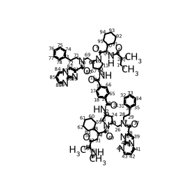 CC[C@@H](C)C(=O)N[C@H](C(=O)N1C[C@@H](NC(=O)c2ccc(C(=O)N[C@H]3C[C@@H](CN(CCc4ccccc4)C(=O)c4cn5cccnc5n4)N(C(=O)[C@@H](CC(=O)[C@H](C)NC)C4CCCCC4)C3)cc2)C[C@H]1CN(CCc1ccccc1)C(=O)c1cn2cccnc2n1)C1CCCCC1